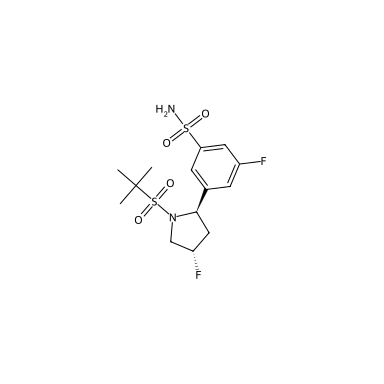 CC(C)(C)S(=O)(=O)N1C[C@@H](F)C[C@@H]1c1cc(F)cc(S(N)(=O)=O)c1